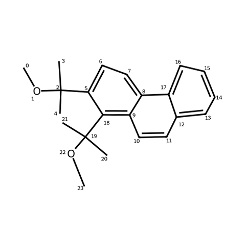 COC(C)(C)c1ccc2c(ccc3ccccc32)c1C(C)(C)OC